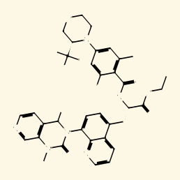 CCOC(=O)[C@H](Cc1ccc(N2C(=O)N(C)c3cnccc3C2O)c2ncccc12)NC(=O)c1c(C)cc(N2CCOC[C@@H]2C(F)(F)F)cc1F